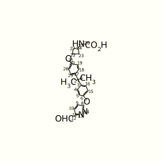 CC(C)(c1ccc(Oc2ccc(C=O)nn2)cc1)c1ccc(O[C@H]2C[C@H](NC(=O)O)C2)cc1